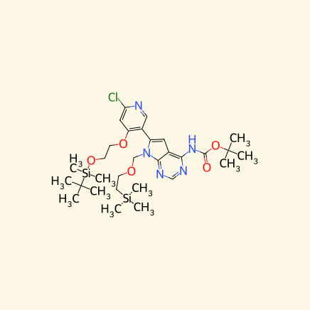 CC(C)(C)OC(=O)Nc1ncnc2c1cc(-c1cnc(Cl)cc1OCCO[Si](C)(C)C(C)(C)C)n2COCC[Si](C)(C)C